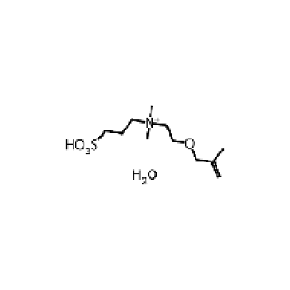 C=C(C)COCC[N+](C)(C)CCCS(=O)(=O)O.O